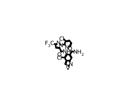 Cn1cc2c(Cl)c(NC(=O)c3cc(C(F)(F)F)nn3-c3ncccc3Cl)c(C(N)=O)cc2n1